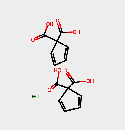 Cl.O=C(O)C1(C(=O)O)C=CC=C1.O=C(O)C1(C(=O)O)C=CC=C1